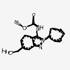 CC(C)(C)OC(=O)Nc1c2ccc(CO)cc2nn1-c1ccccc1